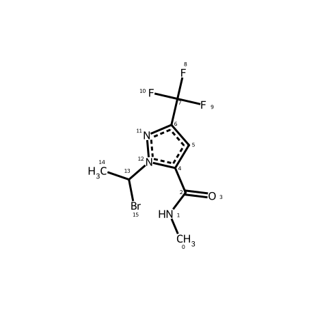 CNC(=O)c1cc(C(F)(F)F)nn1C(C)Br